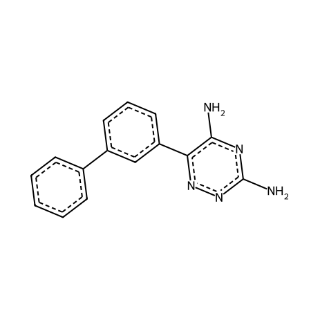 Nc1nnc(-c2cccc(-c3ccccc3)c2)c(N)n1